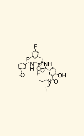 CCCN(CCC)C(=O)c1cc(C(=O)N[C@@H](Cc2cc(F)cc(F)c2)[C@H](O)CNCc2cccc(OC)c2)ccc1O